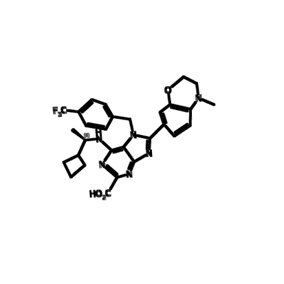 C[C@@H](Nc1nc(C(=O)O)nc2nc(-c3ccc4c(c3)OCCN4C)n(Cc3ccc(C(F)(F)F)cc3)c12)C1CCC1